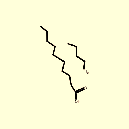 CCCCCCCCCC(=O)O.CCCCP